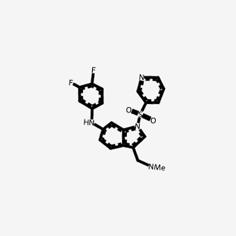 CNCc1cn(S(=O)(=O)c2cccnc2)c2cc(Nc3ccc(F)c(F)c3)ccc12